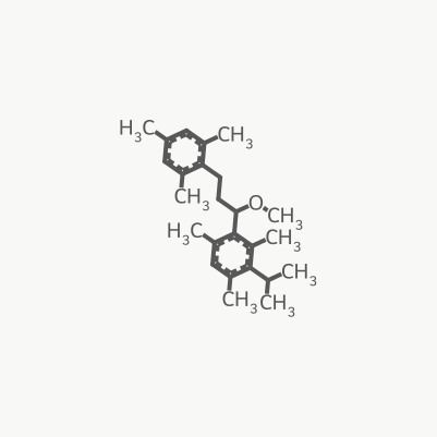 COC(CCc1c(C)cc(C)cc1C)c1c(C)cc(C)c(C(C)C)c1C